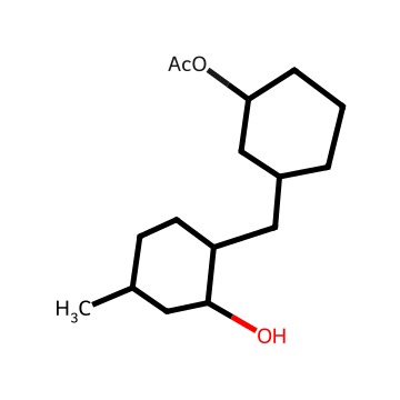 CC(=O)OC1CCCC(CC2CCC(C)CC2O)C1